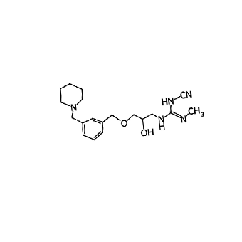 CN=C(NC#N)NCC(O)COCc1cccc(CN2CCCCC2)c1